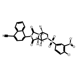 N#Cc1ccc(N2C(=O)[C@H]3[C@@H]4C[C@@H](CN4S(=O)(=O)c4ccc(Cl)c([N+](=O)[O-])c4)N3C2=O)c2ccccc12